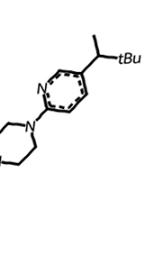 CCN1CCN(c2ccc(C(C)C(C)(C)C)cn2)CC1